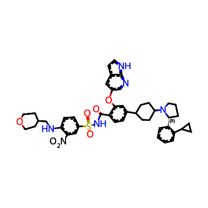 O=C(NS(=O)(=O)c1ccc(NCC2CCOCC2)c([N+](=O)[O-])c1)c1ccc(C2CCC(N3CCC[C@@H]3c3ccccc3C3CC3)CC2)cc1Oc1cnc2[nH]ccc2c1